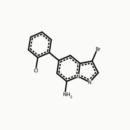 Nc1cc(-c2ccccc2Cl)cc2c(Br)cnn12